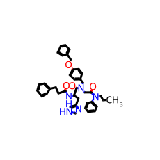 CCCN(C(=O)CN(Cc1ccc(OCc2ccccc2)cc1)C(=O)C(Cc1c[nH]cn1)NC(=O)CCc1ccccc1)c1ccccc1